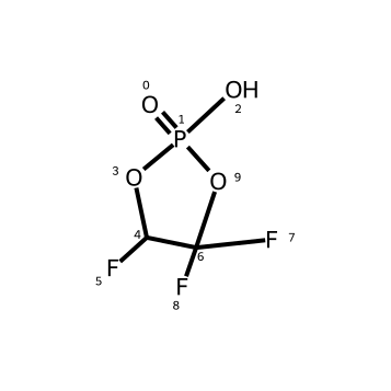 O=P1(O)OC(F)C(F)(F)O1